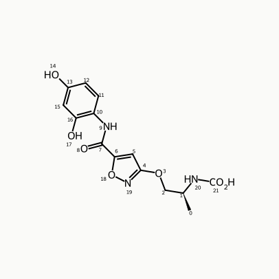 C[C@@H](COc1cc(C(=O)Nc2ccc(O)cc2O)on1)NC(=O)O